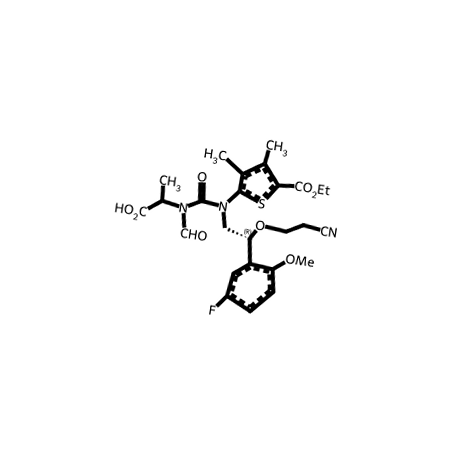 CCOC(=O)c1sc(N(C[C@H](OCCC#N)c2cc(F)ccc2OC)C(=O)N(C=O)C(C)C(=O)O)c(C)c1C